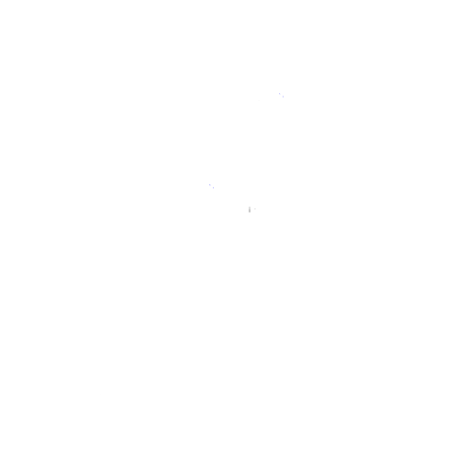 CC(C)C(COc1cc(F)c(-c2ccc(C(F)(F)F)cc2Cl)c(F)c1)Nc1ccc(C(=O)NCCC(=O)O)cc1